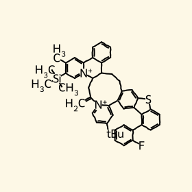 C=C1CC2C(CCc3cc4sc5cccc(-c6ccccc6F)c5c4cc3-c3cc(C(C)(C)C)cc[n+]31)c1ccccc1-c1cc(C)c([Si](C)(C)C)c[n+]12